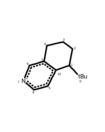 CC(C)(C)C1CCCc2cnccc21